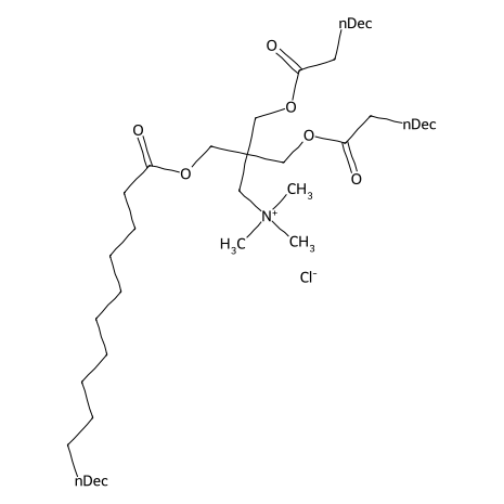 CCCCCCCCCCCCCCCCCCCC(=O)OCC(COC(=O)CCCCCCCCCCC)(COC(=O)CCCCCCCCCCC)C[N+](C)(C)C.[Cl-]